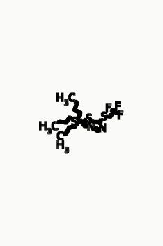 CCC[CH2][Sn]([CH2]CCC)([CH2]CCC)[c]1cn2cnc(SCC(F)(F)F)c2s1